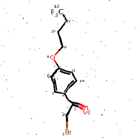 O=C(CBr)c1ccc(OCCCC(F)(F)F)cc1